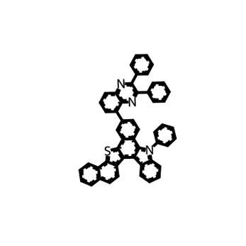 c1ccc(-c2nc3cccc(-c4ccc5c(c4)c4sc6c7ccccc7ccc6c4c4c6ccccc6n(-c6ccccc6)c54)c3nc2-c2ccccc2)cc1